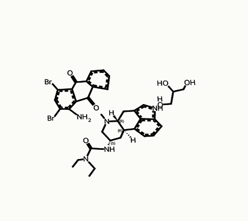 CCN(CC)C(=O)N[C@H]1C[C@@H]2c3cccc4[nH]cc(c34)C[C@H]2N(C)C1.Nc1c(Br)cc(Br)c2c1C(=O)c1ccccc1C2=O.OCC(O)CO